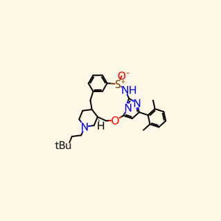 Cc1cccc(C)c1-c1cc2nc(n1)N[S+]([O-])c1cccc(c1)CC1CCN(CCC(C)(C)C)C[C@@H]1CO2